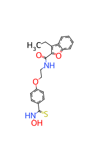 CCc1c(C(=O)NCCOc2ccc(C(=S)NO)cc2)oc2ccccc12